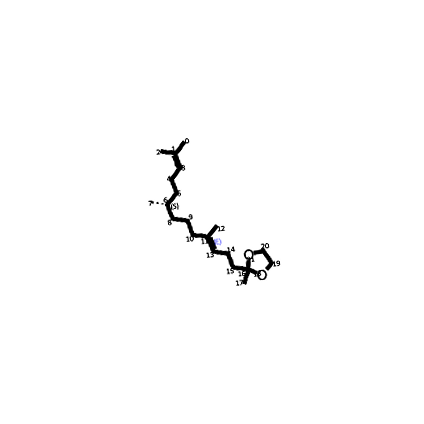 CC(C)=CCC[C@@H](C)CCC/C(C)=C/CCC1(C)OCCO1